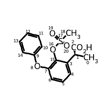 C[C@H](C(=O)O)c1cccc(Oc2ccccc2)c1OS(C)(=O)=O